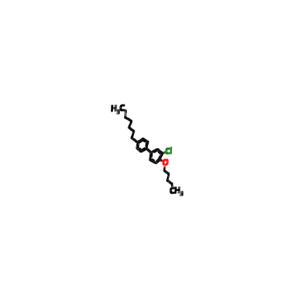 CCCCCCCc1ccc(-c2ccc(OCCCCC)c(Cl)c2)cc1